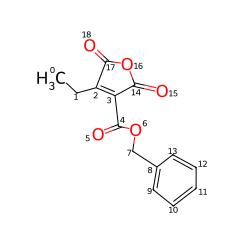 CCC1=C(C(=O)OCc2ccccc2)C(=O)OC1=O